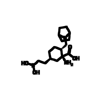 N[C@@]1(C(=O)O)C[C@@H](CCB(O)O)CC[C@@H]1CN1C2CCC1CC2